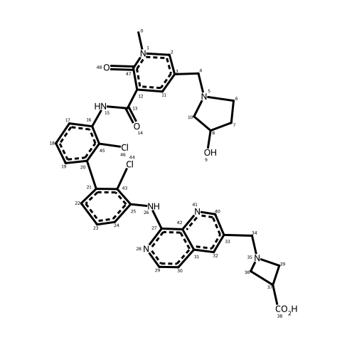 Cn1cc(CN2CCC(O)C2)cc(C(=O)Nc2cccc(-c3cccc(Nc4nccc5cc(CN6CC(C(=O)O)C6)cnc45)c3Cl)c2Cl)c1=O